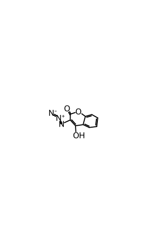 [N-]=[N+]=Nc1c(O)c2ccccc2oc1=O